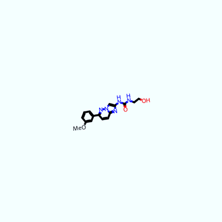 COc1cccc(-c2ccc3nc(NC(=O)NCCO)cn3n2)c1